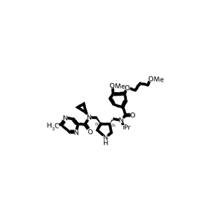 COCCCOc1cc(C(=O)N(C[C@@H]2CNC[C@H]2CN(C(=O)c2cnc(C)cn2)C2CC2)C(C)C)ccc1OC